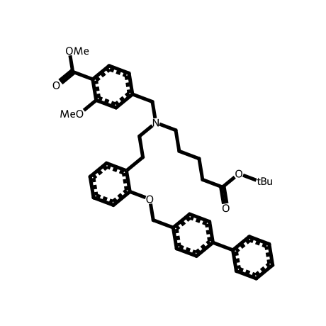 COC(=O)c1ccc(CN(CCCCC(=O)OC(C)(C)C)CCc2ccccc2OCc2ccc(-c3ccccc3)cc2)cc1OC